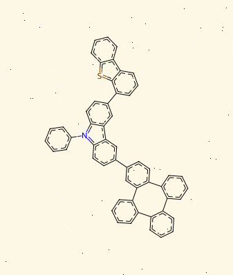 c1ccc(-n2c3ccc(-c4ccc5c(c4)-c4ccccc4-c4ccccc4-c4ccccc4-5)cc3c3cc(-c4cccc5c4sc4ccccc45)ccc32)cc1